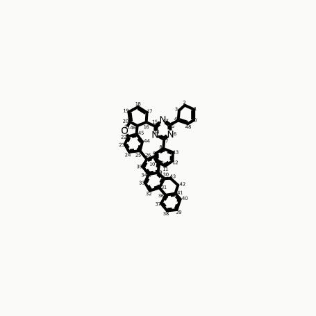 C1=CCCC(c2nc(-c3ccccc3)nc(C3C=CC=C4Oc5ccc(-c6ccc7c8c(ccc7c6)-c6ccccc6CC8)cc5C43)n2)=C1